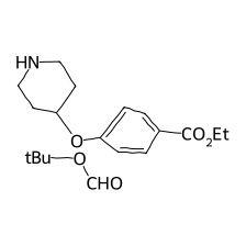 CC(C)(C)OC=O.CCOC(=O)c1ccc(OC2CCNCC2)cc1